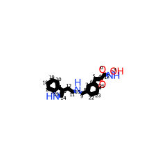 O=C(NO)c1cc2cc(CNCCc3c[nH]c4ccccc34)ccc2o1